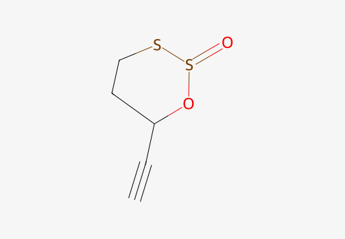 C#CC1CCSS(=O)O1